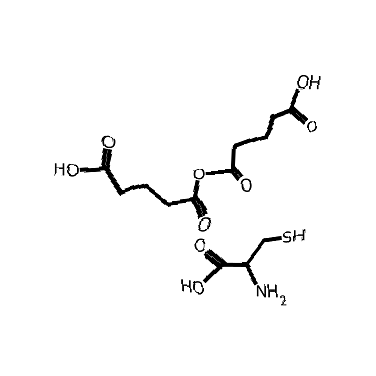 NC(CS)C(=O)O.O=C(O)CCCC(=O)OC(=O)CCCC(=O)O